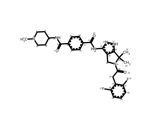 CN1CCC(NC(=O)c2ccc(C(=O)Nc3n[nH]c4c3CN(C(=O)Cc3c(F)cccc3F)C4(C)C)cc2)CC1